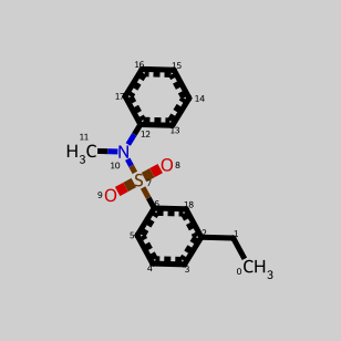 CCc1cccc(S(=O)(=O)N(C)c2ccccc2)c1